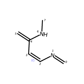 C=N/C=C\C(=C)NC